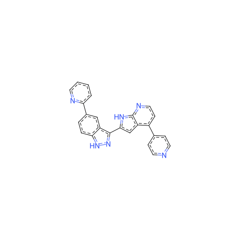 c1ccc(-c2ccc3[nH]nc(-c4cc5c(-c6ccncc6)ccnc5[nH]4)c3c2)nc1